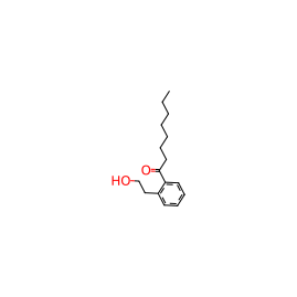 CCCCCCCC(=O)c1ccccc1CCO